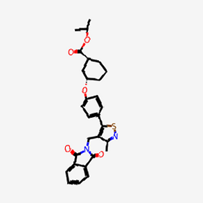 Cc1nsc(-c2ccc(O[C@H]3CCC[C@H](C(=O)OC(C)C)C3)cc2)c1CN1C(=O)c2ccccc2C1=O